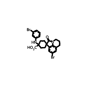 O=C(O)C1(Nc2cccc(Br)c2)CCC2(CC1)C(=O)N1CCCc3cc(Br)cc2c31